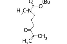 C=C(C)C(=O)CCCN(C)C(=O)OC(C)(C)C